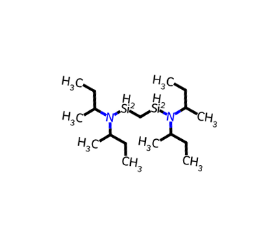 CCC(C)N([SiH2]C[SiH2]N(C(C)CC)C(C)CC)C(C)CC